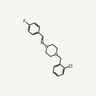 Fc1ccc(C=NN2CCN(Cc3ccccc3Cl)CC2)cc1